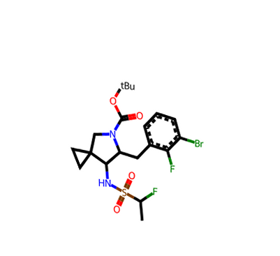 CC(F)S(=O)(=O)NC1C(Cc2cccc(Br)c2F)N(C(=O)OC(C)(C)C)CC12CC2